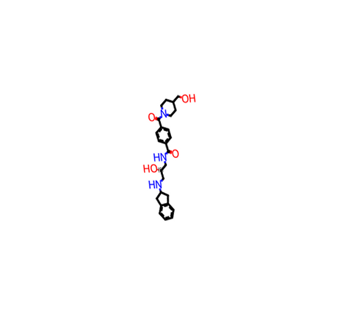 O=C(NC[C@@H](O)CNC1Cc2ccccc2C1)c1ccc(C(=O)N2CCC(CO)CC2)cc1